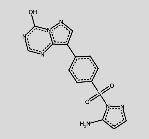 Nc1ccnn1S(=O)(=O)c1ccc(-c2cnn3c(O)ncnc23)cc1